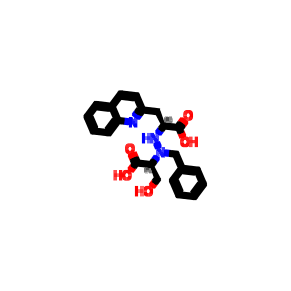 O=C(O)[C@H](Cc1ccc2ccccc2n1)NN(Cc1ccccc1)[C@@H](CO)C(=O)O